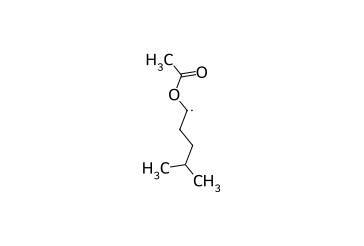 CC(=O)O[CH]CCC(C)C